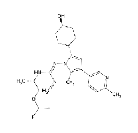 C=N/C(=N\n1c(C)c(-c2ccc(C)nc2)cc1[C@H]1CC[C@H](O)CC1)N[C@@H](C)COC(F)F